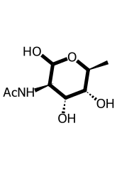 CC(=O)N[C@H]1C(O)O[C@@H](C)[C@H](O)[C@@H]1O